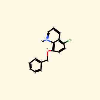 C[n+]1cccc2c(Cl)ccc(OCc3ccccc3)c21